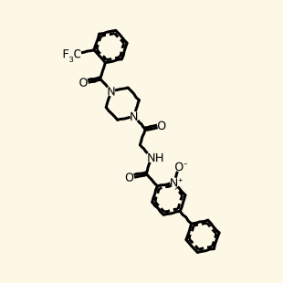 O=C(NCC(=O)N1CCN(C(=O)c2ccccc2C(F)(F)F)CC1)c1ccc(-c2ccccc2)c[n+]1[O-]